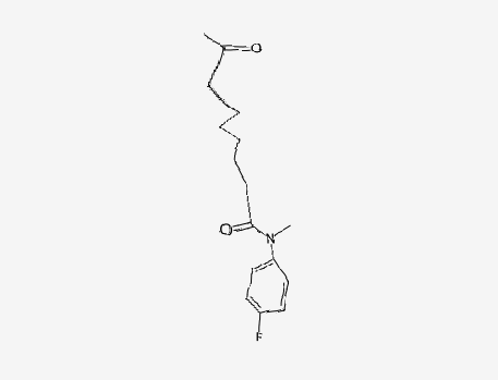 CC(=O)CCCCCCC(=O)N(C)c1ccc(F)cc1